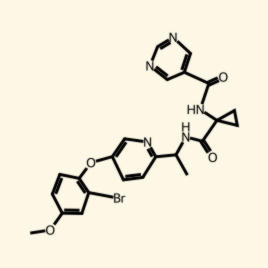 COc1ccc(Oc2ccc(C(C)NC(=O)C3(NC(=O)c4cncnc4)CC3)nc2)c(Br)c1